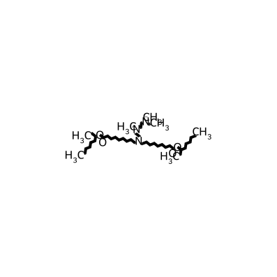 CCCCCCC(CC)OC(=O)CCCCCCCCN(CCCCCCCCC(=O)OC(CC)CCCCCC)CCN(C)CCN(C)CC